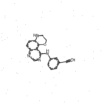 C#Cc1cccc(Nc2ncnc3ccc4c(c23)OCCN4)c1